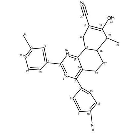 Cc1cc(-c2nc(-c3ccc(F)cc3)c3c(n2)C2CC(C#N)=C(O)C(C)C2CC3)ccn1